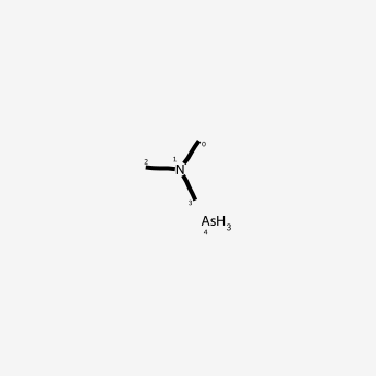 CN(C)C.[AsH3]